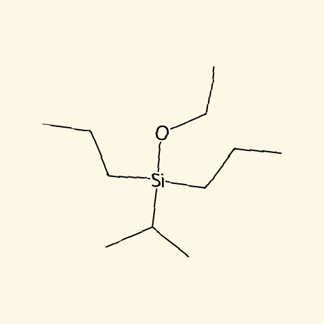 CCC[Si](CCC)(OCC)C(C)C